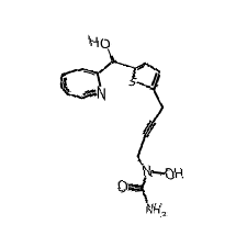 NC(=O)N(O)CC#CCc1ccc(C(O)c2ccccn2)s1